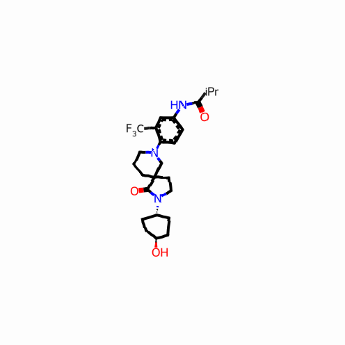 CC(C)C(=O)Nc1ccc(N2CCCC3(CCN([C@H]4CC[C@H](O)CC4)C3=O)C2)c(C(F)(F)F)c1